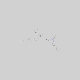 CC(C)(C)c1ccc(-c2ccc3c4cc(-c5ccc6c(c5)c5ccccc5n6-c5ccc6c(c5)C(C)(C)c5ccccc5-6)ccc4n(-c4ccccc4)c3c2)cc1